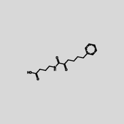 O=C(O)CCCNC(=O)C(=O)CCCCc1ccccc1